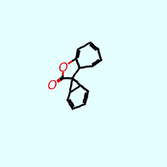 O=C1OC2=CC=CC=CC2C12C1C=CC=CC12